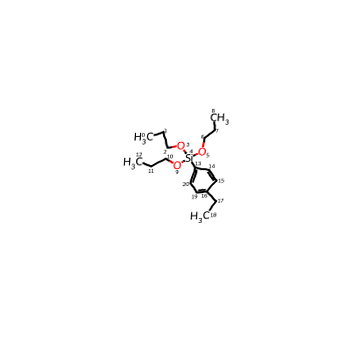 CCCO[Si](OCCC)(OCCC)c1ccc(CC)cc1